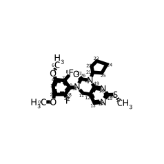 COc1cc(OC)c(F)c(N2Cc3cnc(SC)nc3N(C3CCCC3)C2=O)c1F